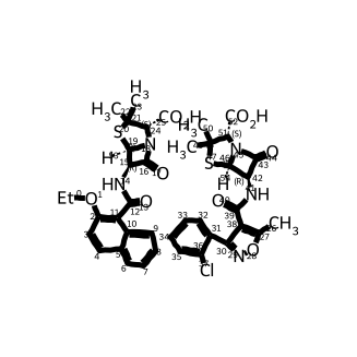 CCOc1ccc2ccccc2c1C(=O)N[C@@H]1C(=O)N2[C@@H]1SC(C)(C)[C@@H]2C(=O)O.Cc1onc(-c2ccccc2Cl)c1C(=O)N[C@@H]1C(=O)N2[C@@H]1SC(C)(C)[C@@H]2C(=O)O